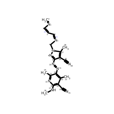 C=N/C=C\C=N/Cn1nc(N=Nc2c(C)nc(NC)c(C#N)c2C)c(C#N)c1C